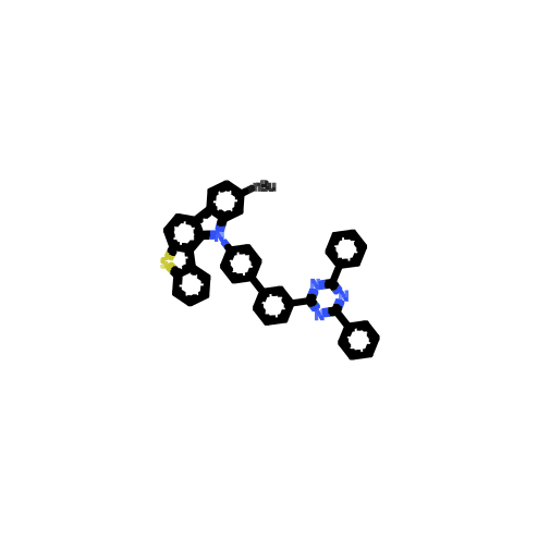 CCCCc1ccc2c3ccc4sc5ccccc5c4c3n(-c3ccc(-c4cccc(-c5nc(-c6ccccc6)nc(-c6ccccc6)n5)c4)cc3)c2c1